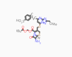 COCc1nc2nc(C)cc(SCC3=C(C(=O)OCOC(=O)C(C)(C)C)N4C(=O)C(N)[C@@H]4SC3)n2n1.Cc1ccc(S(=O)(=O)O)cc1